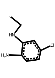 [CH2]CNc1cc(Cl)ccc1N